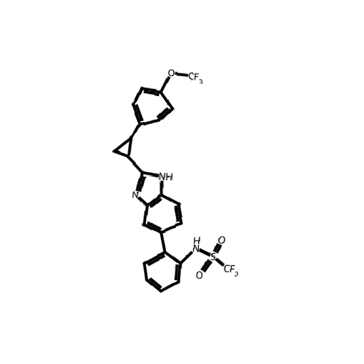 O=S(=O)(Nc1ccccc1-c1ccc2[nH]c(C3CC3c3ccc(OC(F)(F)F)cc3)nc2c1)C(F)(F)F